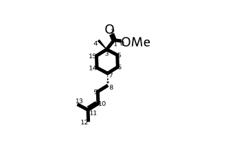 COC(=O)[C@]1(C)CC[C@H](CCC=C(C)C)CC1